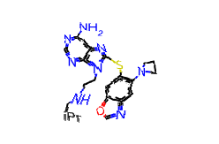 CC(C)CNCCn1c(Sc2cc3ocnc3cc2N2CCC2)nc2c(N)ncnc21